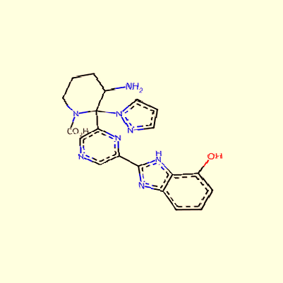 NC1CCCN(C(=O)O)C1(c1cncc(-c2nc3cccc(O)c3[nH]2)n1)n1cccn1